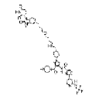 CN1CCN(C(=O)c2nn(-c3ccc(CNCCCCOCCCCc4ccc5c(c4)n(C)c(=O)n5C4CCC(=O)NC4=O)cc3)cc2NC(=O)c2coc(-c3ccnc(NCC(F)(F)F)c3)n2)CC1